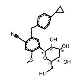 CSc1cc(C#N)c(Cc2ccc(C3CC3)cc2)cc1[C@@H]1O[C@H](CO)[C@@H](O)[C@H](O)[C@H]1O